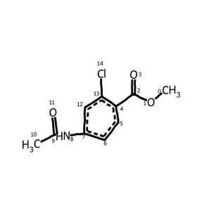 COC(=O)c1ccc(NC(C)=O)cc1Cl